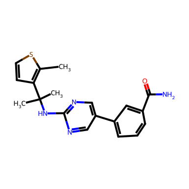 Cc1sccc1C(C)(C)Nc1ncc(-c2cccc(C(N)=O)c2)cn1